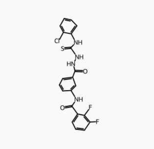 O=C(NNC(=S)Nc1ccccc1Cl)c1cccc(NC(=O)c2cccc(F)c2F)c1